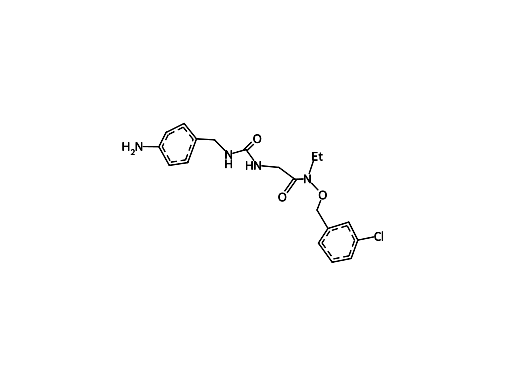 CCN(OCc1cccc(Cl)c1)C(=O)CNC(=O)NCc1ccc(N)cc1